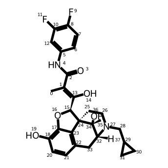 C/C(C(=O)Nc1ccc(F)c(F)c1)=C(/O)[C@@H]1Oc2c(O)ccc3c2[C@@]12CCN(CC1CC1)[C@H](C3)[C@@]2(C)O